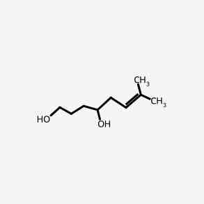 CC(C)=CCC(O)CCCO